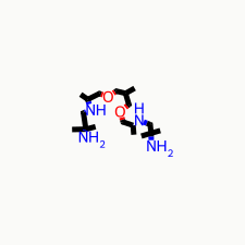 CC(COCC(C)NCC(C)(C)N)COCC(C)NCC(C)(C)N